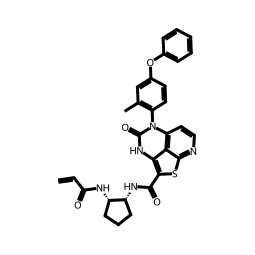 C=CC(=O)N[C@H]1CCC[C@H]1NC(=O)c1sc2nccc3c2c1NC(=O)N3c1ccc(Oc2ccccc2)cc1C